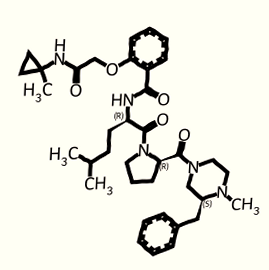 CC(C)CC[C@@H](NC(=O)c1ccccc1OCC(=O)NC1(C)CC1)C(=O)N1CCC[C@@H]1C(=O)N1CCN(C)[C@@H](Cc2ccccc2)C1